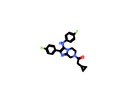 O=C(CC1CC1)N1CCn2c(nc(-c3ccc(F)cc3)c2Nc2ccc(F)cc2)C1